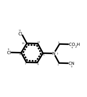 N#CCN(CC(=O)O)c1ccc(Cl)c(Cl)c1